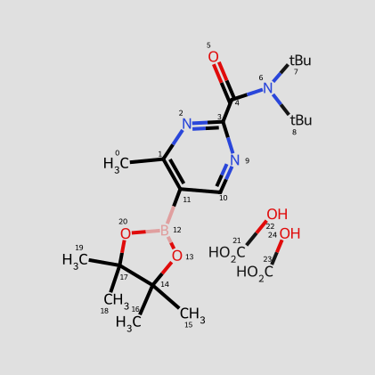 Cc1nc(C(=O)N(C(C)(C)C)C(C)(C)C)ncc1B1OC(C)(C)C(C)(C)O1.O=C(O)O.O=C(O)O